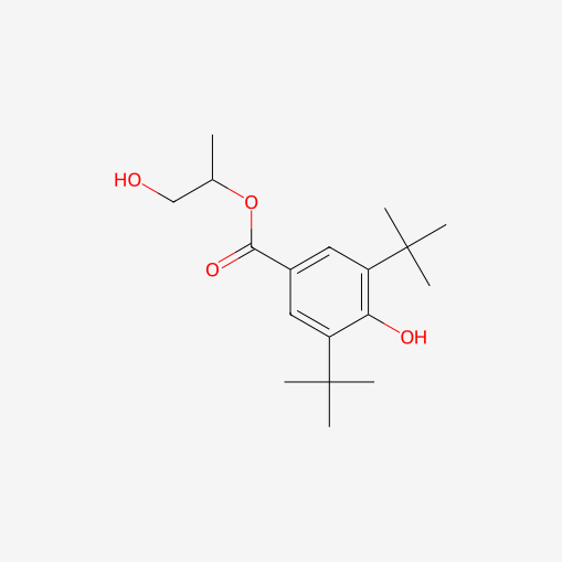 CC(CO)OC(=O)c1cc(C(C)(C)C)c(O)c(C(C)(C)C)c1